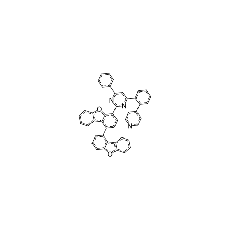 c1ccc(-c2cc(-c3ccccc3-c3ccncc3)nc(-c3ccc(-c4cccc5oc6ccccc6c45)c4c3oc3ccccc34)n2)cc1